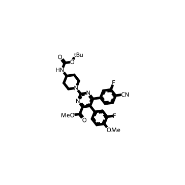 COC(=O)c1nc(N2CCC(NC(=O)OC(C)(C)C)CC2)nc(-c2ccc(C#N)c(F)c2)c1-c1ccc(OC)c(F)c1